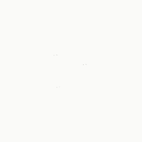 CCCCCC=C1[CH]C(=CCCCCC)CC(=CCCCCC)C1